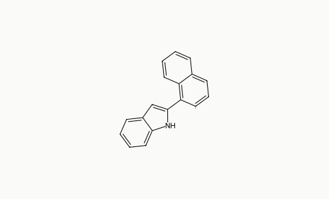 [c]1ccc2ccccc2c1-c1cc2ccccc2[nH]1